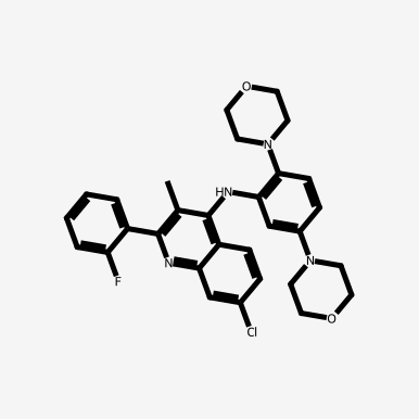 Cc1c(-c2ccccc2F)nc2cc(Cl)ccc2c1Nc1cc(N2CCOCC2)ccc1N1CCOCC1